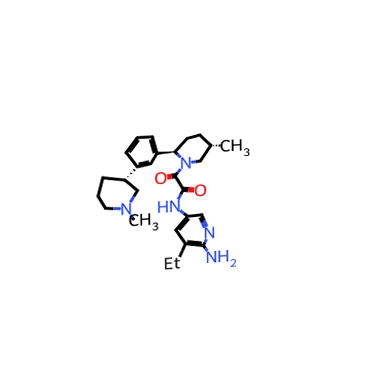 CCc1cc(NC(=O)C(=O)N2C[C@@H](C)CC[C@@H]2c2cccc([C@H]3CCCN(C)C3)c2)cnc1N